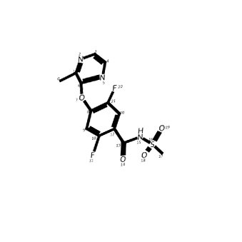 Cc1nccnc1Oc1cc(F)c(C(=O)NS(C)(=O)=O)cc1F